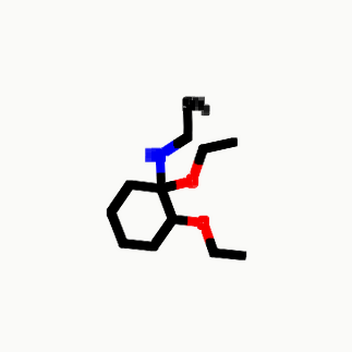 CCOC1CCCCC1(NC[SiH3])OCC